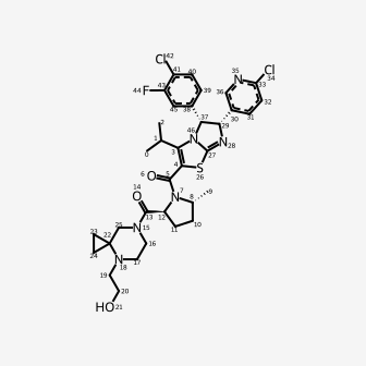 CC(C)C1=C(C(=O)N2[C@H](C)CC[C@H]2C(=O)N2CCN(CCO)C3(CC3)C2)SC2=N[C@@H](c3ccc(Cl)nc3)[C@@H](c3ccc(Cl)c(F)c3)N21